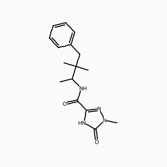 CC(NC(=O)c1nn(C)c(=O)[nH]1)C(C)(C)Cc1ccccc1